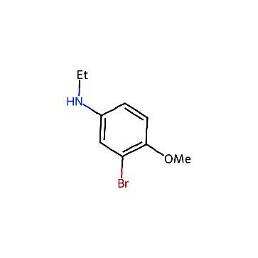 CCNc1ccc(OC)c(Br)c1